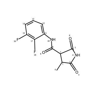 CC1C(=O)NC(=O)C1C(=O)Nc1cccc(F)c1F